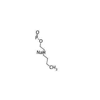 CCCCCCOP=O.[NaH]